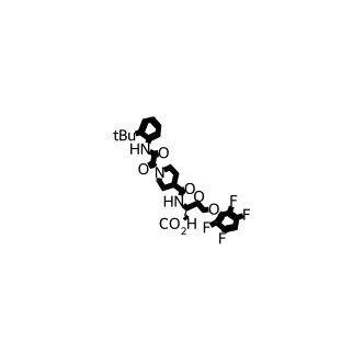 CC(C)(C)c1ccccc1NC(=O)C(=O)N1CCC(C(=O)N[C@@H](CC(=O)O)C(=O)COc2c(F)c(F)cc(F)c2F)CC1